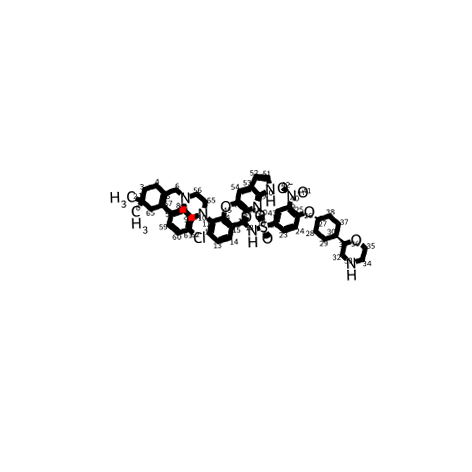 CC1(C)CCC(CN2CCN(c3cccc(C(=O)NS(=O)(=O)c4ccc(O[C@H]5CC[C@H](C6CNCCO6)CC5)c([N+](=O)[O-])c4)c3Oc3cnc4[nH]ccc4c3)CC2)=C(c2ccc(Cl)cc2)C1